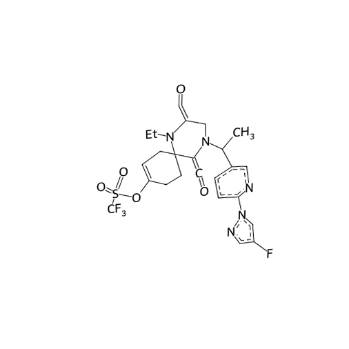 CCN1C(=C=O)CN(C(C)c2ccc(-n3cc(F)cn3)nc2)C(=C=O)C12CC=C(OS(=O)(=O)C(F)(F)F)CC2